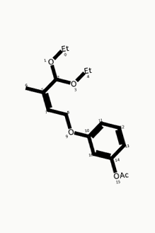 CCOC(OCC)C(C)=CCOc1cccc(OC(C)=O)c1